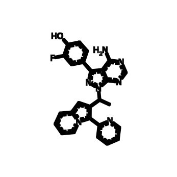 CC(c1cc2ccccn2c1-c1ccccn1)n1nc(-c2ccc(O)c(F)c2)c2c(N)ncnc21